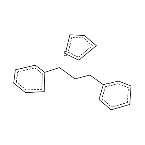 c1ccc(CCCc2ccccc2)cc1.c1ccsc1